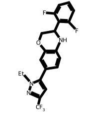 CCn1nc(C(F)(F)F)cc1-c1ccc2c(c1)OCC(c1c(F)cccc1F)N2